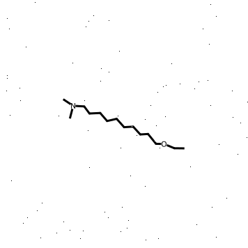 CCOCCCCCCCCCCN(C)C